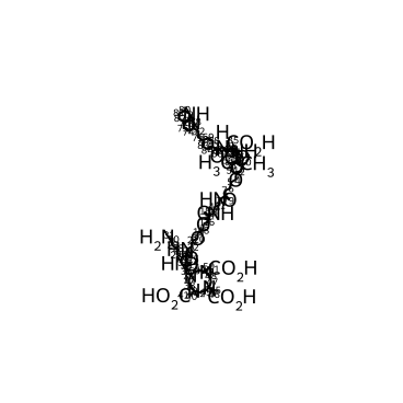 Cc1cc(OCCCC(=O)NCCNC(=O)COCCOCCNC(=O)[C@H](CCCCN)NC(=O)CN2CCN(CC(=O)O)CCN(CC(=O)O)CCN(CC(=O)O)CC2)cc(C)c1S(=O)(=O)N[C@@H](CNC(=O)c1ccc(CCc2ccc3c(n2)NCCC3)cc1)C(=O)O